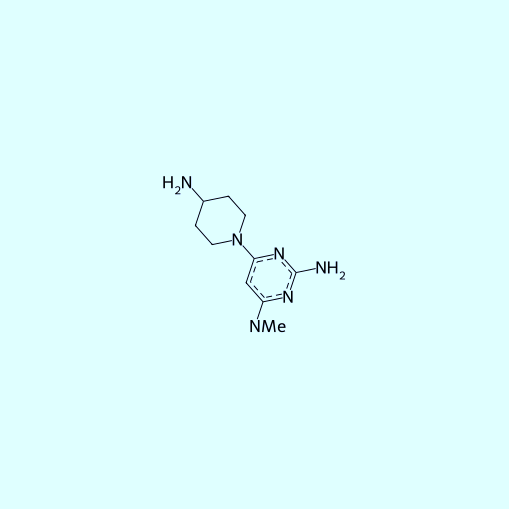 CNc1cc(N2CCC(N)CC2)nc(N)n1